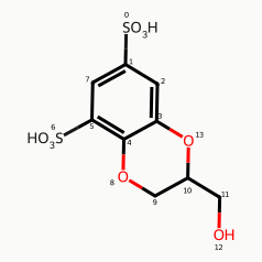 O=S(=O)(O)c1cc2c(c(S(=O)(=O)O)c1)OCC(CO)O2